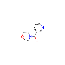 O=C(c1[c]nccc1)N1CCOCC1